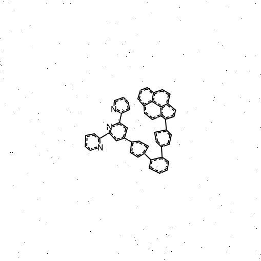 c1ccc(-c2cc(-c3ccc(-c4ccccc4-c4ccc(-c5ccc6ccc7cccc8ccc5c6c78)cc4)cc3)cc(-c3ccccn3)n2)nc1